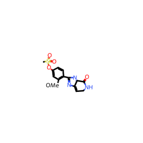 COc1cc(OS(C)(=O)=O)ccc1C1=NC2=CCNC(=O)C2=N1